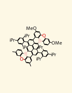 COc1ccc2c(c1)Oc1cc(OC)cc3c1B2c1cc2c(-c4c(C(C)C)cc(C(C)C)cc4C(C)C)cc4c5c(cc6c(-c7c(C(C)C)cc(C(C)C)cc7C(C)C)cc-3c1c6c25)B1c2ccc(C)cc2Oc2cc(C)cc-4c21